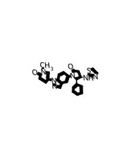 Cn1cc(-n2ncc3cc(N4C(=O)C[C@H](Nc5nccs5)[C@H]4c4ccccc4)ccc32)ccc1=O